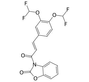 O=C(/C=C/c1ccc(OC(F)F)c(OC(F)F)c1)n1c(=O)oc2ccccc21